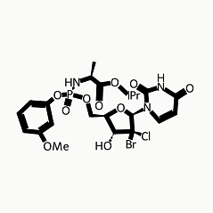 COc1cccc(O[P@@](=O)(N[C@@H](C)C(=O)OC(C)C)OC[C@H]2O[C@@H](n3ccc(=O)[nH]c3=O)[C@](Cl)(Br)[C@@H]2O)c1